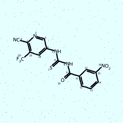 N#Cc1ncc(NC(=S)NC(=O)c2cccc([N+](=O)[O-])c2)cc1C(F)(F)F